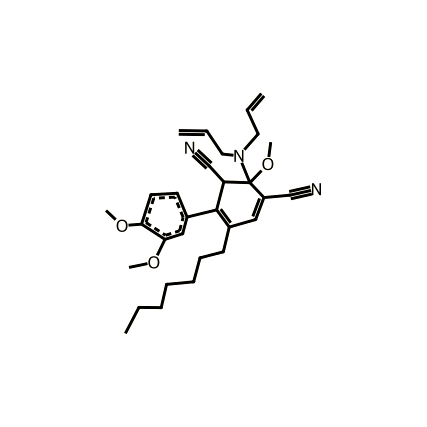 C=CCN(CC=C)C1(OC)C(C#N)=CC(CCCCCCC)=C(c2ccc(OC)c(OC)c2)C1C#N